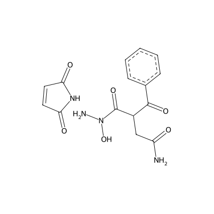 NC(=O)CC(C(=O)c1ccccc1)C(=O)N(N)O.O=C1C=CC(=O)N1